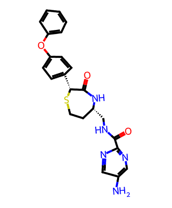 Nc1cnc(C(=O)NC[C@@H]2CCS[C@H](c3ccc(Oc4ccccc4)cc3)C(=O)N2)nc1